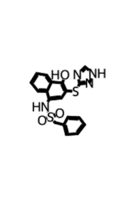 O=S(=O)(Cc1ccccc1)Nc1cc(Sc2nc[nH]n2)c(O)c2ccccc12